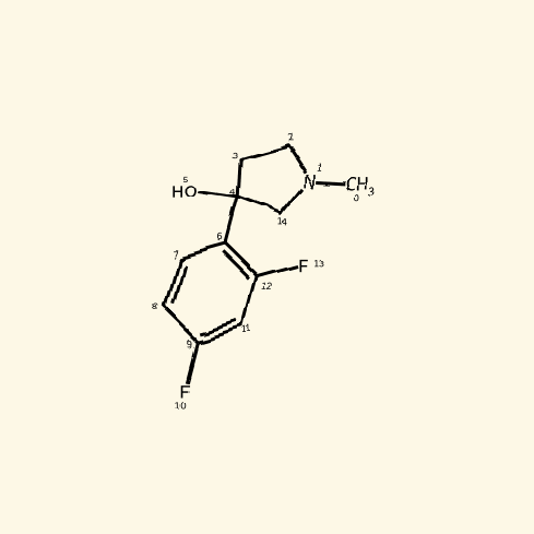 CN1CCC(O)(c2ccc(F)cc2F)C1